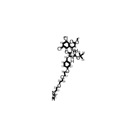 COC(=O)CC(NC(=O)[C@H](Cc1ccc(OCCOCCOCCN=[N+]=[N-])cc1)NC(=O)OC(C)(C)C)c1cc(Cl)cc(Cl)c1